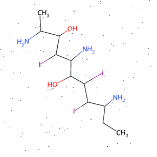 CCC(N)C(I)C(I)C(O)C(N)C(I)C(O)C(C)N